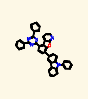 c1ccc(-c2nc(-c3ccccc3)nc(-c3ccc(-c4ccc5c(c4)c4ccccc4n5-c4ccccc4)c4oc5ncccc5c34)n2)cc1